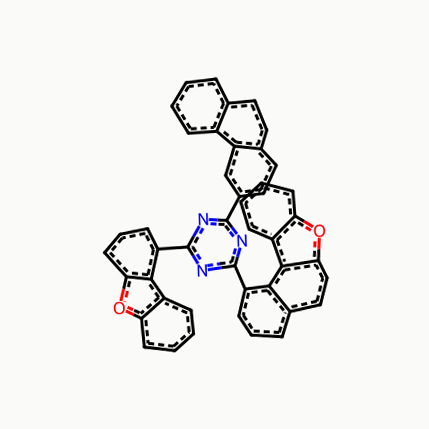 c1ccc2c(c1)ccc1ccc(-c3nc(-c4cccc5oc6ccccc6c45)nc(-c4cccc5ccc6oc7ccccc7c6c45)n3)cc12